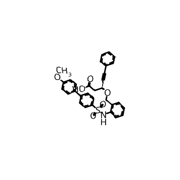 COc1ccc(-c2ccc(S(=O)(=O)Nc3ccccc3CO[C@H](C#Cc3ccccc3)CC(=O)O)cc2)cc1